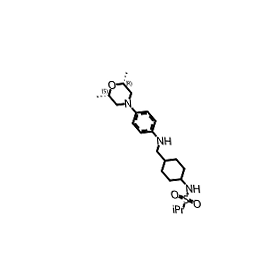 CC(C)S(=O)(=O)NC1CCC(CNc2ccc(N3C[C@@H](C)O[C@@H](C)C3)cc2)CC1